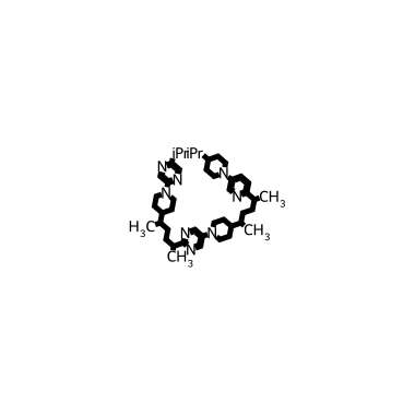 CC(C)c1cnc(N2CCC(C(C)CCC(C)c3ncc(N4CCC(C(C)CCC(C)c5ccc(N6CCC(C(C)C)CC6)cn5)CC4)cn3)CC2)cn1